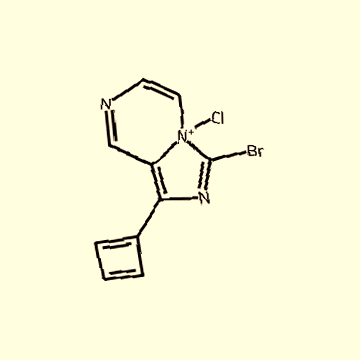 Cl[N+]12C=CN=CC1=C(C1=CC=C1)N=C2Br